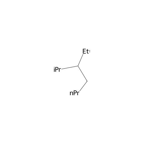 C[C]C(CCCC)C(C)C